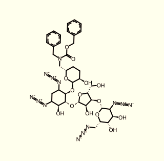 [N-]=[N+]=NC[C@@H]1O[C@H](O[C@H]2[C@@H](O)[C@H](O[C@H]3[C@H](O[C@H]4O[C@H](CN(Cc5ccccc5)C(=O)OCc5ccccc5)CC[C@H]4O)C(N=[N+]=[N-])CC(N=[N+]=[N-])[C@@H]3O)O[C@@H]2CO)C(N=[N+]=[N-])[C@@H](O)[C@@H]1O